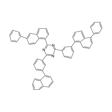 c1ccc(-c2ccc3c(-c4nc(-c5cccc(-c6cccc7ccccc67)c5)nc(-c5cccc(-c6cccc7c(-c8ccccc8)cccc67)c5)n4)cccc3c2)cc1